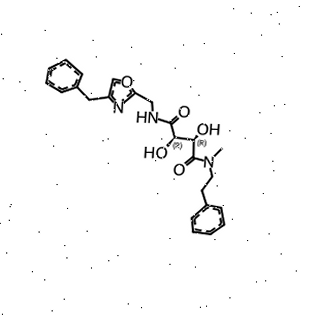 CN(CCc1ccccc1)C(=O)[C@H](O)[C@@H](O)C(=O)NCc1nc(Cc2ccccc2)co1